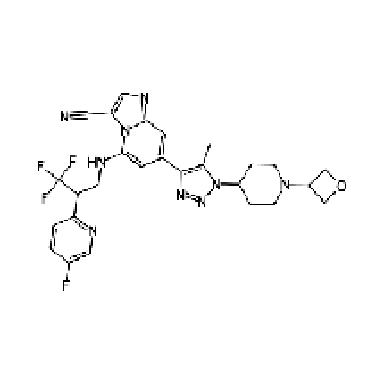 Cc1c(-c2cc(NCC(c3ccc(F)cn3)C(F)(F)F)n3c(C#N)cnc3c2)nnn1C1CCN(C2COC2)CC1